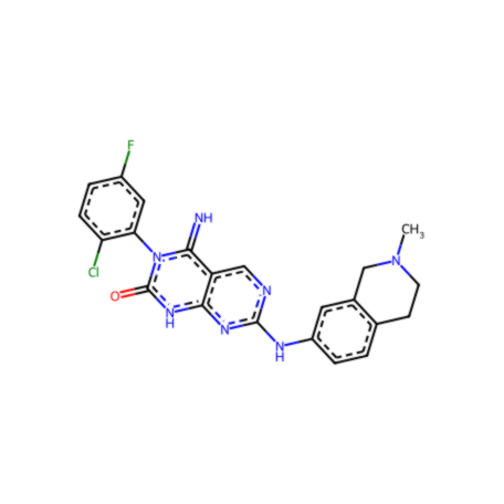 CN1CCc2ccc(Nc3ncc4c(=N)n(-c5cc(F)ccc5Cl)c(=O)[nH]c4n3)cc2C1